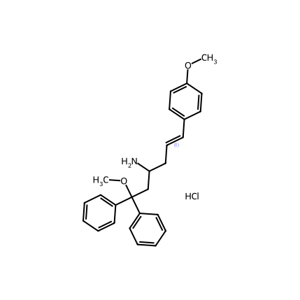 COc1ccc(/C=C/CC(N)CC(OC)(c2ccccc2)c2ccccc2)cc1.Cl